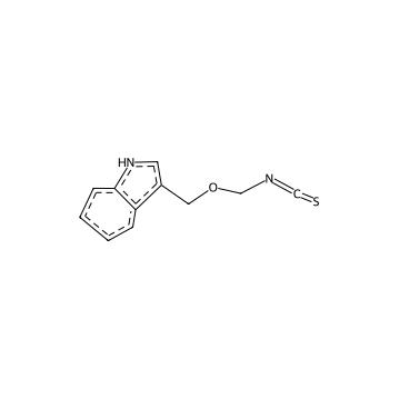 S=C=NCOCc1c[nH]c2ccccc12